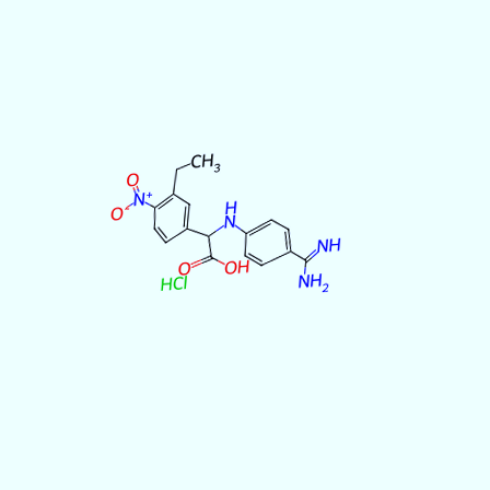 CCc1cc(C(Nc2ccc(C(=N)N)cc2)C(=O)O)ccc1[N+](=O)[O-].Cl